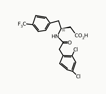 O=C(O)C[C@H](Cc1ccc(C(F)(F)F)cc1)NC(=O)Cc1ccc(Cl)cc1Cl